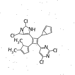 CC1=CC=C(C2=C(C3=C4C(Cl)N4C(Cl)N3)C(C3C4=CC=CC43)=C2c2cc(Cl)nc(Cl)n2)C1C